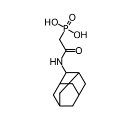 O=C(CP(=O)(O)O)NC1C2CC3CC(C2)CC1C3